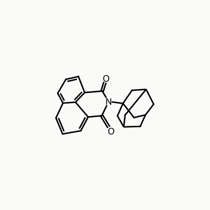 O=C1c2cccc3cccc(c23)C(=O)N1C12CC3CC(CC(C3)C1)C2